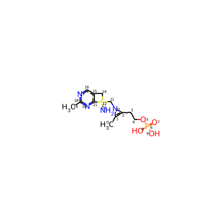 CC1=C(CCOP(=O)(O)O)N1CS1(N)Cc2cnc(C)nc21